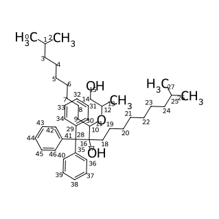 CC(C)CCCCCCCC(OC(C)CO)C(O)(CCCCCCCC(C)C)C(c1ccccc1)(c1ccccc1)c1ccccc1